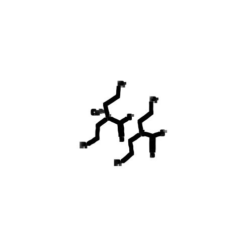 CC(C)CCN(CCC(C)C)C(=S)[S-].CC(C)CCN(CCC(C)C)C(=S)[S-].[Cu+2]